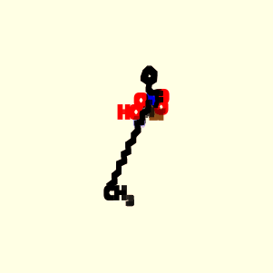 CCCCCCCCCCCCC/C=C/C(O)[C@H](Br)C(=O)N1C(=O)OCC1Cc1ccccc1